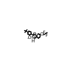 COc1cc(C(C)(C)C)ccc1C(=O)N[C@@H](C)c1ccc(OCC(C)(F)F)cn1